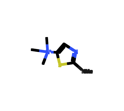 CNc1ncc([N+](C)(C)C)s1